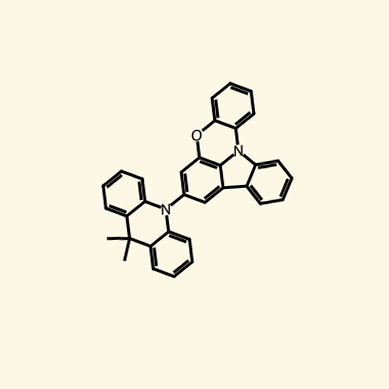 CC1(C)c2ccccc2N(c2cc3c4c(c2)c2ccccc2n4-c2ccccc2O3)c2ccccc21